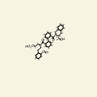 CCOc1ccccc1CCN(CCC(=O)O)C(=O)c1ccccc1-c1ccccc1C(=O)N1Cc2ccccc2C[C@H]1CO